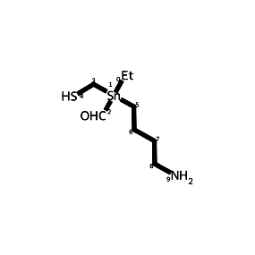 C[CH2][Sn]([CH]=O)([CH2]S)[CH2]CCCN